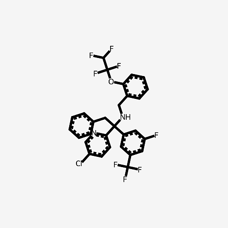 Fc1cc(C(F)(F)F)cc(C(Cc2ccccc2)(NCc2ccccc2OC(F)(F)C(F)F)c2ccc(Cl)cn2)c1